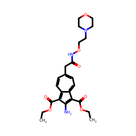 CCOC(=O)c1c2ccc(CC(=O)NOCCN3CCOCC3)ccc-2c(C(=O)OCC)c1N